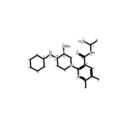 CO[C@H]1CN(c2nc(C)c(C)cc2C(=O)NC(C)N)CC[C@H]1NC1CCCCC1